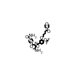 C[C@H](N)c1oc(-c2ccc(OC(F)F)c(OCCCCC(=O)N3CCOCC3)c2)nc1C(=O)N1CCN(C(N)=O)CC1